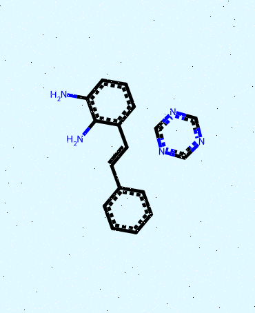 Nc1cccc(C=Cc2ccccc2)c1N.c1ncncn1